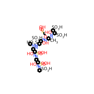 Cc1cc(N=Nc2c(S(=O)(=O)O)cc3c(S(=O)(=O)O)c(N=Nc4c(Nc5ccccc5)ccc5c(O)c(N=Nc6ccc7c(O)c(N=Nc8ccccc8S(=O)(=O)O)c(SOOO)cc7c6)c(SOOO)cc45)ccc3c2O)c(OCCCSOOO)cc1N=Nc1cc(S(=O)(=O)O)cc2cc(S(=O)(=O)O)cc(O)c12